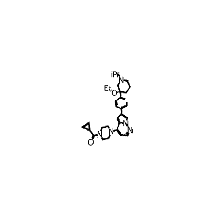 C=C(/C=C\C(=C/C)c1cc2c(N3CCN(C(=O)C4CC4)CC3)ccnn2c1)[C@@]1(OCC)CCCN(C(C)C)C1